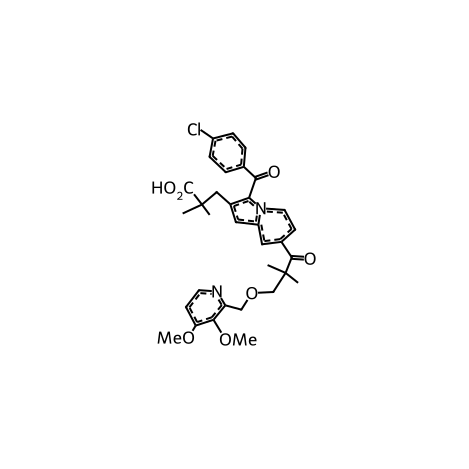 COc1ccnc(COCC(C)(C)C(=O)c2ccn3c(C(=O)c4ccc(Cl)cc4)c(CC(C)(C)C(=O)O)cc3c2)c1OC